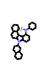 CN(c1ccccc1)c1cccc2c1c1c3ccccc3ccc1n2-c1ccc2ccccc2c1